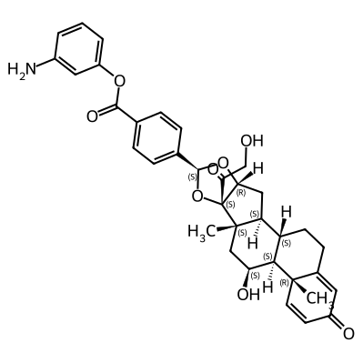 C[C@]12C=CC(=O)C=C1CC[C@@H]1[C@@H]2[C@@H](O)C[C@@]2(C)[C@H]1C[C@H]1O[C@H](c3ccc(C(=O)Oc4cccc(N)c4)cc3)O[C@]12C(=O)CO